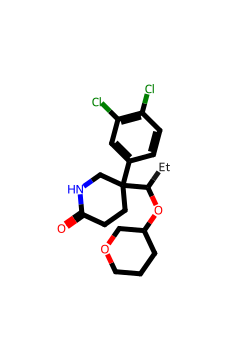 CCC(OC1CCCOC1)C1(c2ccc(Cl)c(Cl)c2)CCC(=O)NC1